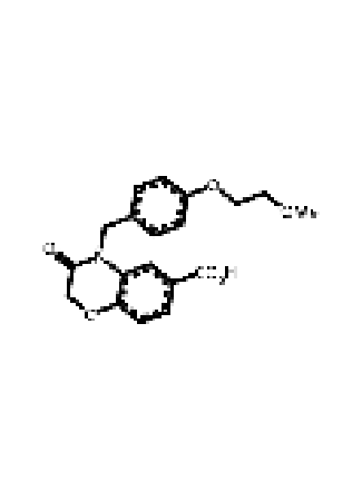 COCCOc1ccc(CN2C(=O)COc3ccc(C(=O)O)cc32)cc1